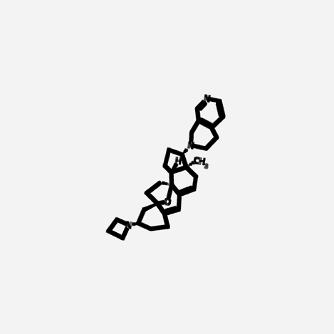 C[C@]12CC=C3C=C4CC[C@H](N5CCC5)C[C@]45CC[C@]3(O5)[C@@H]1CC[C@@H]2N1CCc2ccncc2C1